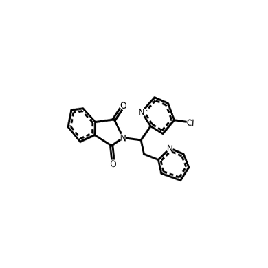 O=C1c2ccccc2C(=O)N1C(Cc1ccccn1)c1cc(Cl)ccn1